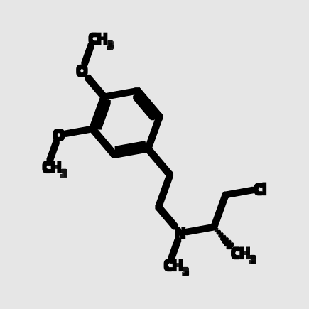 COc1ccc(CCN(C)[C@@H](C)CCl)cc1OC